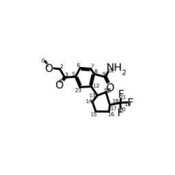 COCC(=O)c1ccc(C(N)=O)c(C2CCCC(C(F)(F)F)C2)c1